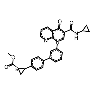 COC(=O)[C@@H]1CC1c1ccc(-c2cccc(-n3cc(C(=O)NC4CC4)c(=O)c4cccnc43)c2)cc1